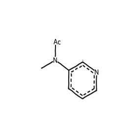 CC(=O)N(C)c1[c]nccc1